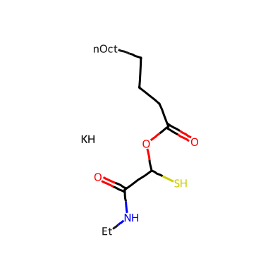 CCCCCCCCCCCC(=O)OC(S)C(=O)NCC.[KH]